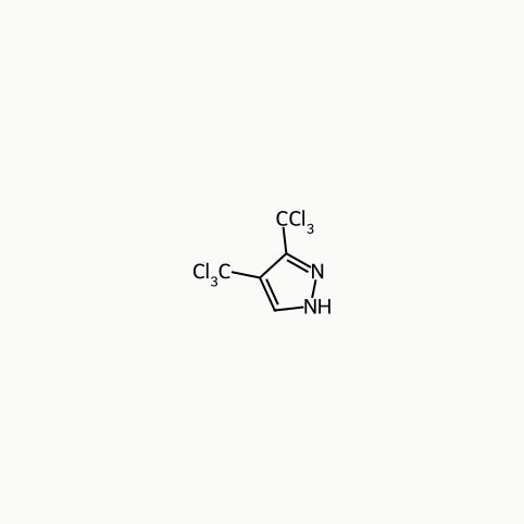 ClC(Cl)(Cl)c1c[nH]nc1C(Cl)(Cl)Cl